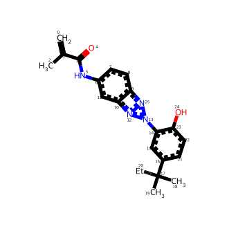 C=C(C)C(=O)Nc1ccc2c(c1)n1n(-c3cc(C(C)(C)CC)ccc3O)n21